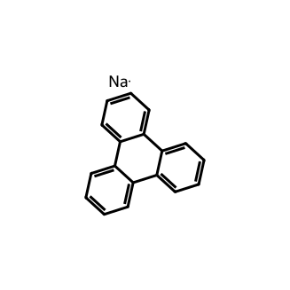 [Na].c1ccc2c(c1)c1ccccc1c1ccccc21